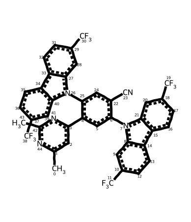 Cc1cc(-c2cc(-n3c4cc(C(F)(F)F)ccc4c4ccc(C(F)(F)F)cc43)c(C#N)cc2-n2c3cc(C(F)(F)F)ccc3c3ccc(C(F)(F)F)cc32)nc(C)n1